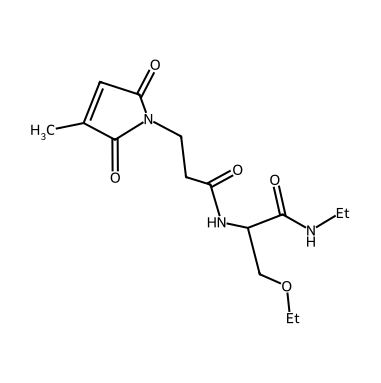 CCNC(=O)C(COCC)NC(=O)CCN1C(=O)C=C(C)C1=O